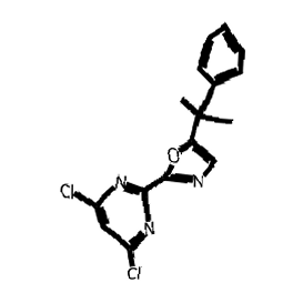 CC(C)(c1ccccc1)c1cnc(-c2nc(Cl)cc(Cl)n2)o1